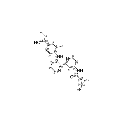 CC[C@H](O)c1cc(C)c(Nc2cccnc2-c2cc(NC(=O)[C@H]3C[C@H]3F)ncn2)cn1